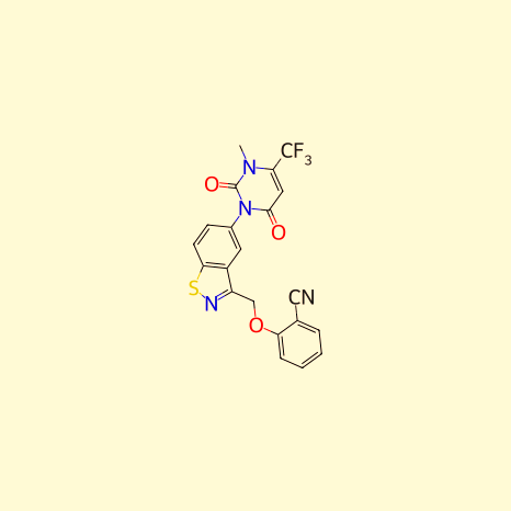 Cn1c(C(F)(F)F)cc(=O)n(-c2ccc3snc(COc4ccccc4C#N)c3c2)c1=O